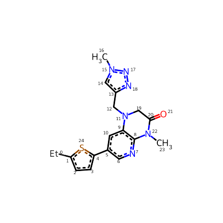 CCc1ccc(-c2cnc3c(c2)N(Cc2cn(C)nn2)CC(=O)N3C)s1